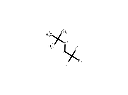 CC(C)(C)OCC(F)(F)F